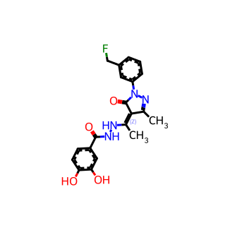 CC1=NN(c2cccc(CF)c2)C(=O)/C1=C(/C)NNC(=O)c1ccc(O)c(O)c1